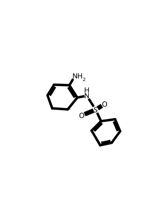 NC1=C(NS(=O)(=O)c2ccccc2)[CH]CC=C1